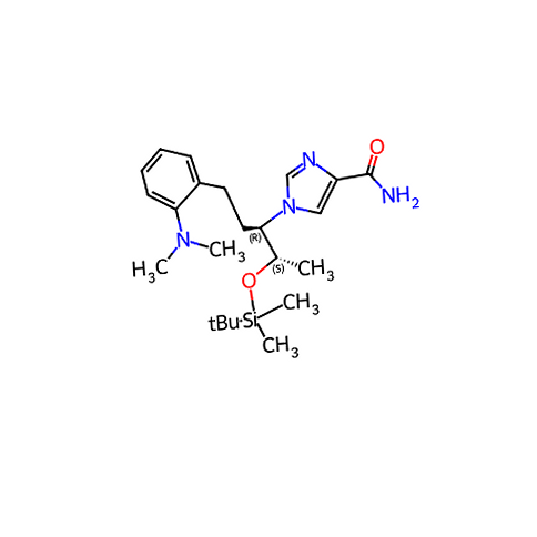 C[C@H](O[Si](C)(C)C(C)(C)C)[C@@H](CCc1ccccc1N(C)C)n1cnc(C(N)=O)c1